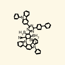 Bc1c(B)c(-n2c3ccccc3c3ccc4c(c5ccccc5n4-c4ccccc4)c32)c(C#N)c(B)c1-c1nc(-c2ccc(-c3ccccc3)cc2)nc(-c2ccc3c(c2)c2ccccc2n3-c2ccccc2)n1